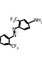 Nc1ccc(/N=N/c2ccccc2C(F)(F)F)c(C(F)(F)F)c1